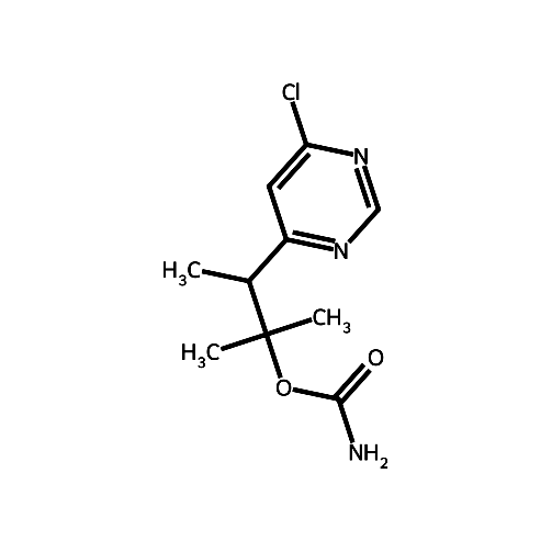 CC(c1cc(Cl)ncn1)C(C)(C)OC(N)=O